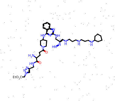 CCOC(=O)Cn1cc(CNC(=O)C(N)CCC(=O)N2CCC(Nc3nc(NC/C(=C/NCCCNCCCNC4CCCCC4)N=N)nc4ccccc34)CC2)nn1